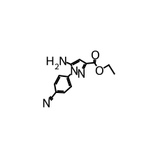 CCOC(=O)c1cc(N)n(-c2ccc(C#N)cc2)n1